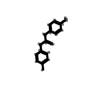 Cc1ccc(OC(=O)Oc2ccc(Cl)cc2)cc1